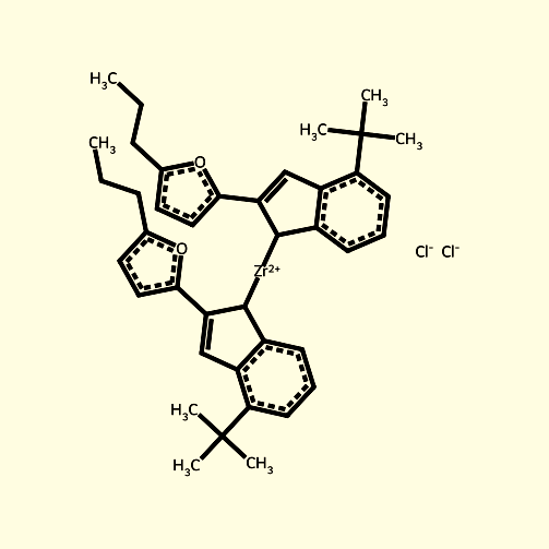 CCCc1ccc(C2=Cc3c(cccc3C(C)(C)C)[CH]2[Zr+2][CH]2C(c3ccc(CCC)o3)=Cc3c2cccc3C(C)(C)C)o1.[Cl-].[Cl-]